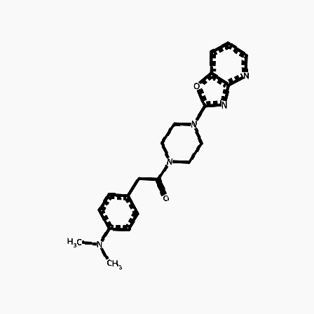 CN(C)c1ccc(CC(=O)N2CCN(c3nc4ncccc4o3)CC2)cc1